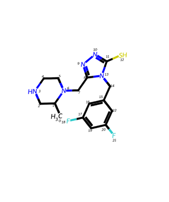 CC1CNCCN1Cc1nnc(S)n1Cc1cc(F)cc(F)c1